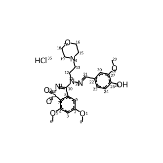 COc1cc(OC)c2c(c1)C(N(CCN1CCOCC1)N=Cc1ccc(O)c(OC)c1)=NS2(=O)=O.Cl